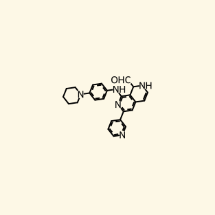 O=CC1NC=Cc2cc(-c3cccnc3)nc(Nc3ccc(N4CCCCC4)cc3)c21